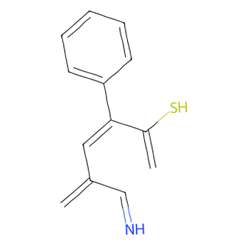 C=C(C=N)/C=C(\C(=C)S)c1ccccc1